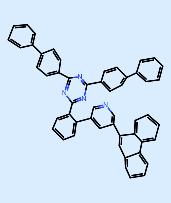 c1ccc(-c2ccc(-c3nc(-c4ccc(-c5ccccc5)cc4)nc(-c4ccccc4-c4cncc(-c5cc6ccccc6c6ccccc56)c4)n3)cc2)cc1